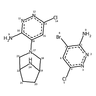 Nc1nnc(Cl)cc1Br.Nc1nnc(Cl)cc1N1CC2CCC(C1)N2